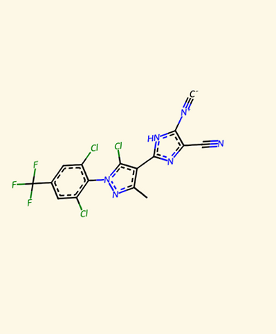 [C-]#[N+]c1[nH]c(-c2c(C)nn(-c3c(Cl)cc(C(F)(F)F)cc3Cl)c2Cl)nc1C#N